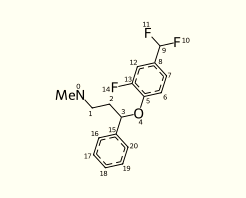 CNCCC(Oc1ccc(C(F)F)cc1F)c1ccccc1